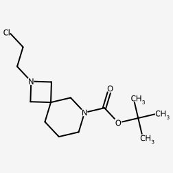 CC(C)(C)OC(=O)N1CCCC2(CN(CCCl)C2)C1